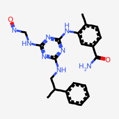 Cc1ccc(C(N)=O)cc1Nc1nc(NCN=O)nc(NCC(C)c2ccccc2)n1